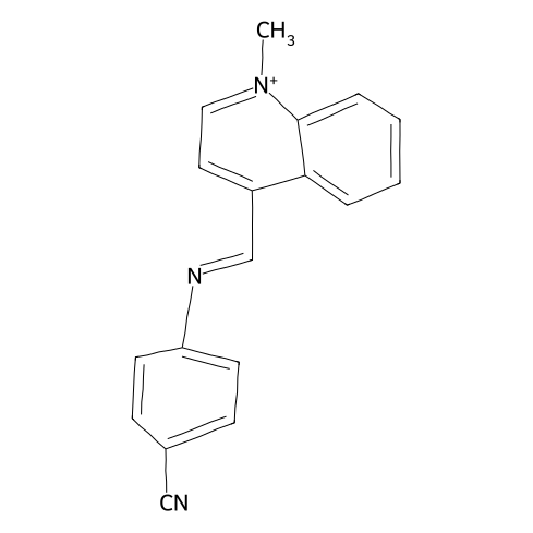 C[n+]1ccc(C=Nc2ccc(C#N)cc2)c2ccccc21